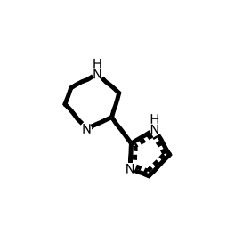 c1c[nH]c(C2CNCC[N]2)n1